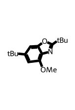 COc1cc(C(C)(C)C)cc2oc(C(C)(C)C)nc12